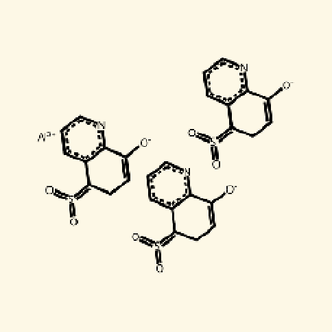 O=S(=O)=C1CC=C([O-])c2ncccc21.O=S(=O)=C1CC=C([O-])c2ncccc21.O=S(=O)=C1CC=C([O-])c2ncccc21.[Al+3]